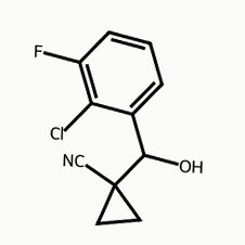 N#CC1(C(O)c2cccc(F)c2Cl)CC1